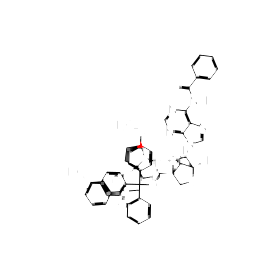 COc1ccc(C(OC[C@@]23CO[C@@H]([C@H](n4cnc5c(NC(=O)c6ccccc6)ncnc54)O2)[C@@H]3O[P@]2O[C@H](CS(=O)(=O)c3ccccc3)[C@@H]3CCCN32)(c2ccccc2)c2ccc(OC)cc2)cc1